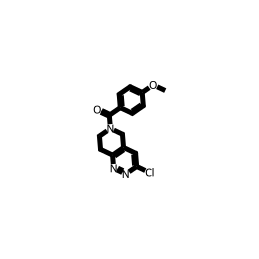 COc1ccc(C(=O)N2CCc3nnc(Cl)cc3C2)cc1